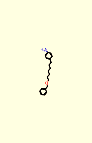 Nc1ccc(CCCCCCCOCc2ccccc2)cc1